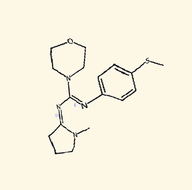 CSc1ccc(/N=C(/N=C2/CCCN2C)N2CCOCC2)cc1